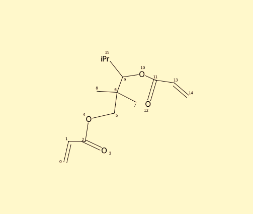 C=CC(=O)OCC(C)(C)C(OC(=O)C=C)C(C)C